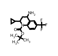 CC(C)(C)OC(=O)N1c2ccc(C(F)(F)F)cc2C(N)CC1C1CC1